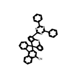 N#Cc1cc2c(c3ccccc13)-c1ccccc1C21c2ccccc2Sc2c(-c3nc(-c4ccccc4)nc(-c4ccccc4)n3)cccc21